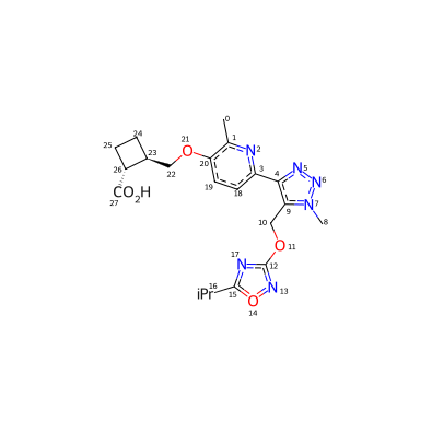 Cc1nc(-c2nnn(C)c2COc2noc(C(C)C)n2)ccc1OC[C@@H]1CC[C@H]1C(=O)O